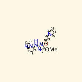 COc1cnc(Nc2cccc3nccn23)nc1OCCCN1CCCC1